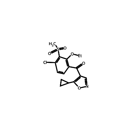 CCOc1c(C(=O)c2cnoc2C2CC2)ccc(Cl)c1S(C)(=O)=O